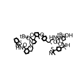 Cc1ncsc1-c1ccc([C@H](C)NC(=O)[C@@H]2C[C@@H](O)CN2C(=O)[C@@H](NC(=O)C[C@@H](C)Cc2ccc(Oc3cccc(-c4ccc(N5CCc6cccc(C(=O)Nc7nc8ccccc8s7)c6C5)nc4C(=O)OC(C)(C)C)c3C)cc2)C(C)(C)C)cc1